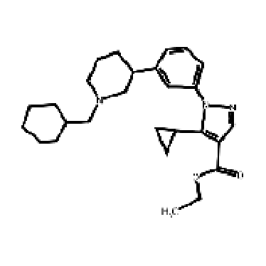 CCOC(=O)c1cnn(-c2cccc(C3CCCN(CC4CCCCC4)C3)c2)c1C1CC1